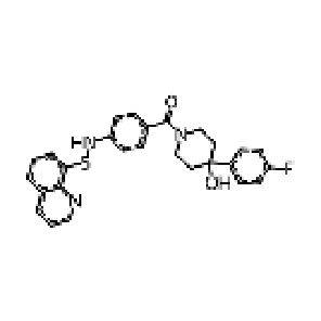 O=C(c1ccc(NSc2cccc3cccnc23)cc1)N1CCC(O)(c2ccc(F)cc2)CC1